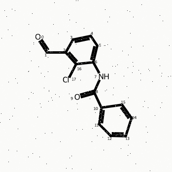 O=Cc1cccc(NC(=O)c2ccccc2)c1Cl